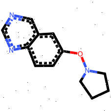 c1ncc2cc(ON3CCCC3)ccc2n1